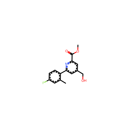 COC(=O)c1cc(CO)cc(-c2ccc(F)cc2C)n1